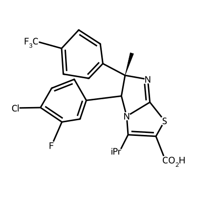 CC(C)C1=C(C(=O)O)SC2=N[C@@](C)(c3ccc(C(F)(F)F)cc3)C(c3ccc(Cl)c(F)c3)N21